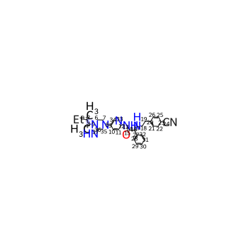 CC/C(C)=C(\C)N1CCN(c2ccc(NC(=O)C(NCCC3=CCC(C#N)C=C3)c3ccccc3)nc2)CC1=N